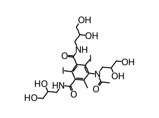 CC(=O)N(CC(O)CO)c1c(C)c(C(=O)NCC(O)CO)c(I)c(C(=O)NCC(O)CO)c1I